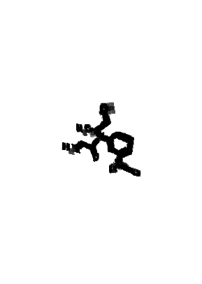 C[C@H](CO)N(C(=O)CN)c1cccc([N+](=O)[O-])c1